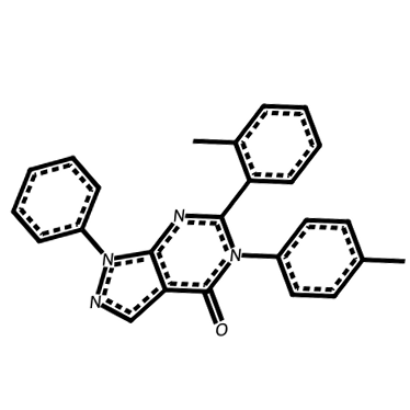 Cc1ccc(-n2c(-c3ccccc3C)nc3c(cnn3-c3ccccc3)c2=O)cc1